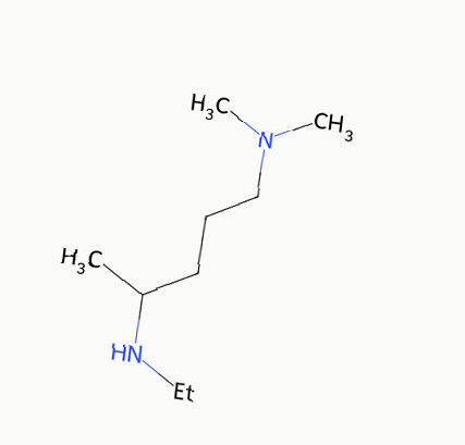 CCNC(C)CCCN(C)C